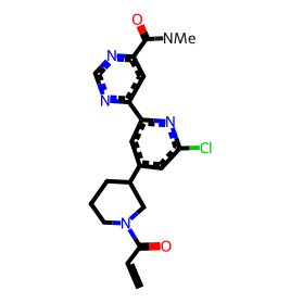 C=CC(=O)N1CCCC(c2cc(Cl)nc(-c3cc(C(=O)NC)ncn3)c2)C1